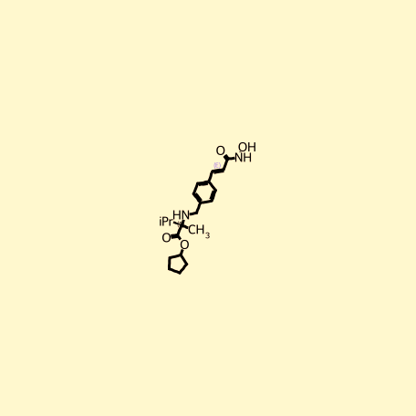 CC(C)[C@](C)(NCc1ccc(/C=C/C(=O)NO)cc1)C(=O)OC1CCCC1